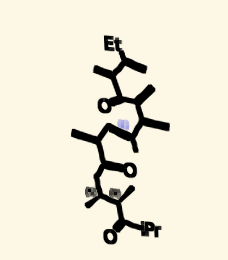 C=C(/C=C(\C)C(=C)C(=C)C(=O)C(=C)C(=C)CC)C(=O)C[C@H](C)[C@@H](C)C(=O)C(C)C